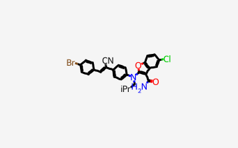 CC(C)CN(c1ccc(/C(C#N)=C/c2ccc(Br)cc2)cc1)c1oc2ccc(Cl)cc2c1C(N)=O